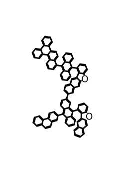 c1ccc2cc3c(cc2c1)oc1cccc(-c2c4ccccc4c(-c4ccc5c(ccc6ccccc65)c4)c4ccc(-c5ccc6cc7c(cc6c5)oc5cccc(-c6c8ccccc8c(-c8cccc9c8ccc8c%10ccccc%10c%10ccccc%10c98)c8ccccc68)c57)cc24)c13